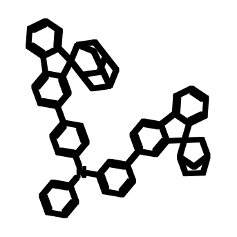 c1ccc(N(c2ccc(-c3ccc4c(c3)C3(c5ccccc5-4)C4CC5CC(C4)CC3C5)cc2)c2cccc(-c3ccc4c(c3)C3(CC5CCC3C5)c3ccccc3-4)c2)cc1